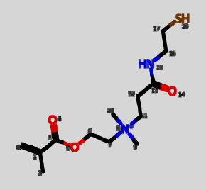 C=C(C)C(=O)OCC[N+](C)(C)CCC(=O)NCCS